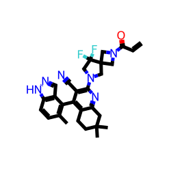 C=CC(=O)N1CC2(C1)CN(c1nc3c(c(-c4c(C)ccc5[nH]ncc45)c1C#N)CCC(C)(C)C3)CC2(F)F